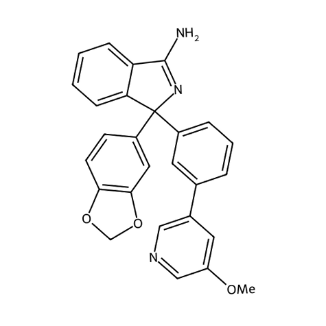 COc1cncc(-c2cccc(C3(c4ccc5c(c4)OCO5)N=C(N)c4ccccc43)c2)c1